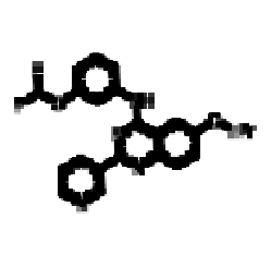 CCCOc1ccc2nc(-c3cccnc3)nc(Nc3cccc(OC(F)F)c3)c2c1